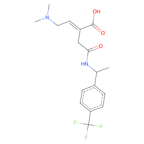 CC(NC(=O)C/C(=C\CN(C)C)C(=O)O)c1ccc(C(F)(F)F)cc1